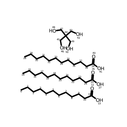 CCCCCCCCCCCC(=O)O.CCCCCCCCCCCC(=O)O.CCCCCCCCCCCC(=O)O.OCC(CO)(CO)CO